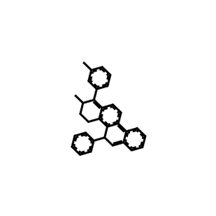 Cc1cccc(C2=c3ccc4c(c3CCC2C)C(c2ccccc2)C=c2ccccc2=4)c1